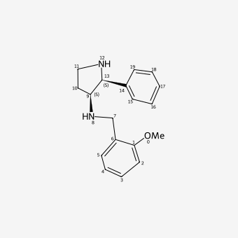 COc1ccccc1CN[C@H]1CCN[C@H]1c1ccccc1